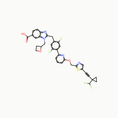 O=C(O)c1ccc2nc(Cc3cc(F)c(-c4cccc(OCc5ncc(C#CC6(C(F)F)CC6)s5)n4)cc3F)n(CC3CCO3)c2c1